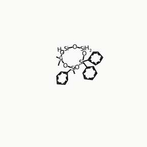 C[Si]1(C)O[SiH2]O[SiH2]O[Si](c2ccccc2)(c2ccccc2)O[Si](C)(c2ccccc2)O1